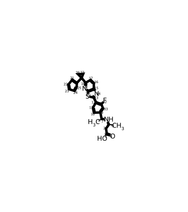 C[C@@H](CC(=O)O)N[C@H](C)c1ccc(-c2nc3ccc(C4(c5ccccc5)CC4)nc3s2)c(F)c1